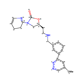 COc1cnnc(-c2cccc(CNCC[C@H]3CN(C4=NC=CCC4)C(=O)O3)c2)c1